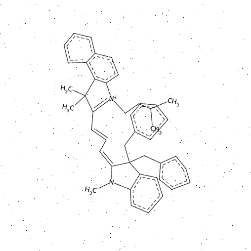 CC(C)CC[N+]1=C(/C=C/C=C2/N(C)c3ccccc3C2(Cc2ccccc2)Cc2ccccc2)C(C)(C)c2c1ccc1ccccc21